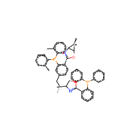 Cc1ccccc1P(c1ccccc1C)c1cc(C[C@@H](C)C2COC(c3ccccc3P(c3ccccc3)c3ccccc3)=N2)ccc1C1=NC2C(O1)[C@@H]2C